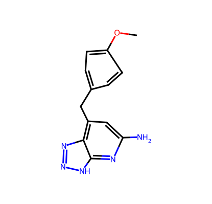 COc1ccc(Cc2cc(N)nc3[nH]nnc23)cc1